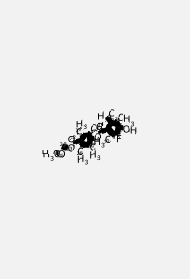 CCc1c(C)c(O)c(F)c(C)c1C(=O)Oc1c(C)c(C)c(C(=O)OCOC)c(C)c1C